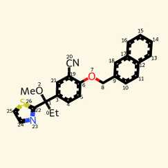 CCC(OC)(c1ccc(OCc2ccc3ccccc3c2)c(C#N)c1)c1nccs1